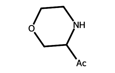 [CH2]C(=O)C1COCCN1